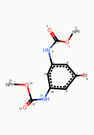 CCCOC(=O)Nc1cc(Br)cc(NC(=O)OCCC)c1